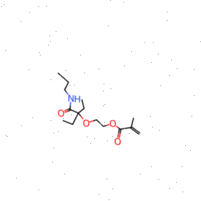 C=C(C)C(=O)OCCOC(CC)(CC)C(=O)NCCC